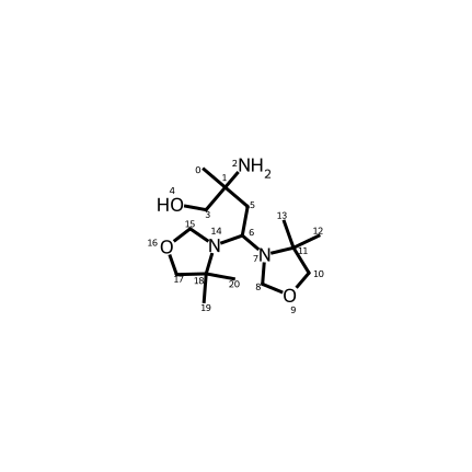 CC(N)(CO)CC(N1COCC1(C)C)N1COCC1(C)C